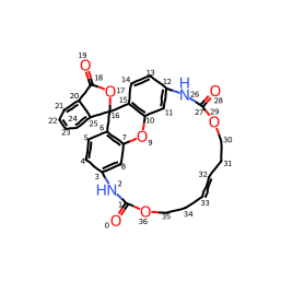 O=C1Nc2ccc3c(c2)Oc2cc(ccc2C32OC(=O)c3ccccc32)NC(=O)OCC/C=C/CCO1